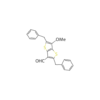 COc1c(Cc2ccccc2)sc2c(C=O)c(Cc3ccccc3)sc12